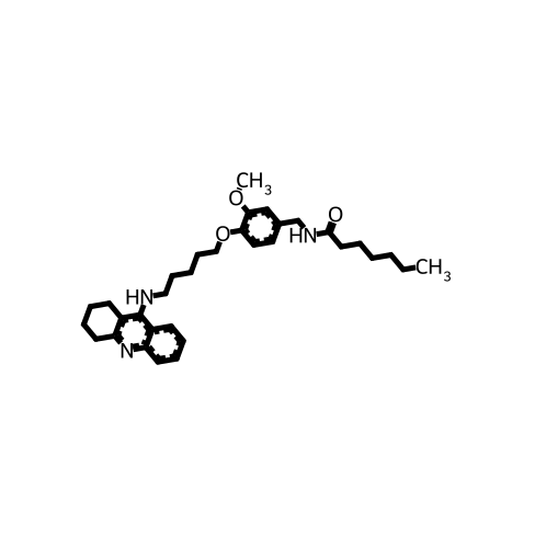 CCCCCCC(=O)NCc1ccc(OCCCCCNc2c3c(nc4ccccc24)CCCC3)c(OC)c1